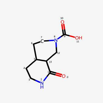 O=C1NCCC2CCN(C(=O)O)CC12